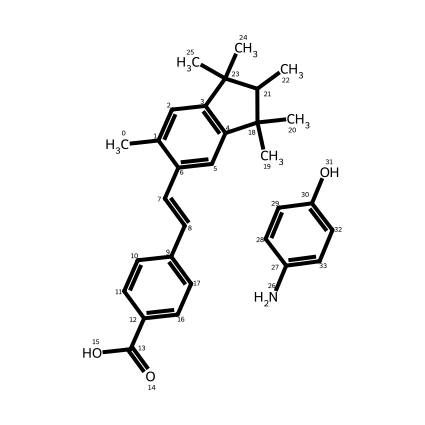 Cc1cc2c(cc1/C=C/c1ccc(C(=O)O)cc1)C(C)(C)C(C)C2(C)C.Nc1ccc(O)cc1